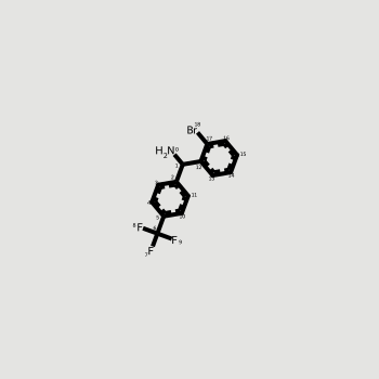 NC(c1ccc(C(F)(F)F)cc1)c1ccccc1Br